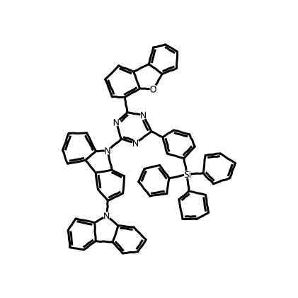 c1ccc([Si](c2ccccc2)(c2ccccc2)c2cccc(-c3nc(-c4cccc5c4oc4ccccc45)nc(-n4c5ccccc5c5cc(-n6c7ccccc7c7ccccc76)ccc54)n3)c2)cc1